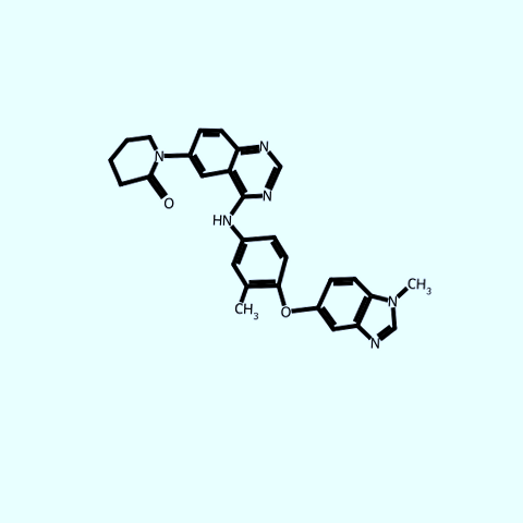 Cc1cc(Nc2ncnc3ccc(N4CCCCC4=O)cc23)ccc1Oc1ccc2c(c1)ncn2C